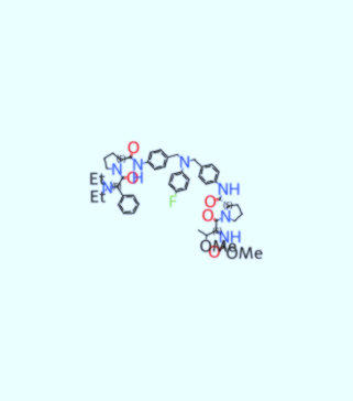 CCN(CC)[C@@H](C(=O)N1CCC[C@H]1C(=O)Nc1ccc(CN(Cc2ccc(NC(=O)[C@@H]3CCCN3C(=O)[C@@H](NC(=O)OC)C(C)OC)cc2)c2ccc(F)cc2)cc1)c1ccccc1